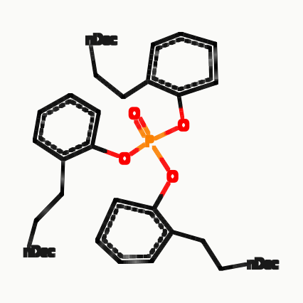 CCCCCCCCCCCCc1ccccc1OP(=O)(Oc1ccccc1CCCCCCCCCCCC)Oc1ccccc1CCCCCCCCCCCC